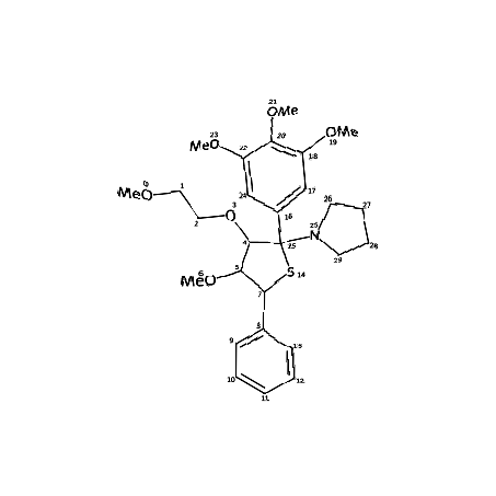 COCCOC1C(OC)C(c2ccccc2)SC1(c1cc(OC)c(OC)c(OC)c1)N1CCCC1